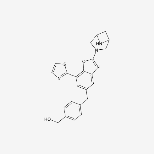 OCc1ccc(Cc2cc(-c3nccs3)c3oc(N4CC5CC(C4)N5)nc3c2)cc1